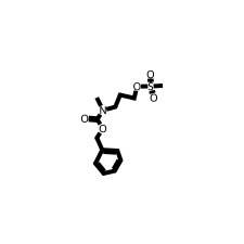 CN(CCCOS(C)(=O)=O)C(=O)OCc1ccccc1